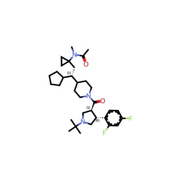 CC(=O)N(C)C1(C[C@@H](C2CCCC2)C2CCN(C(=O)[C@@H]3CN(C(C)(C)C)C[C@H]3c3ccc(F)cc3F)CC2)CC1